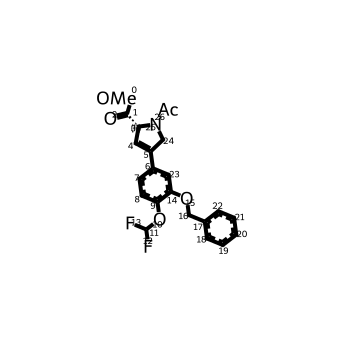 COC(=O)[C@H]1C=C(c2ccc(OC(F)F)c(OCc3ccccc3)c2)CN1C(C)=O